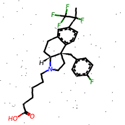 CC(F)(c1ccc2c(c1)CC[C@H]1N(CCCCCC(=O)O)CC[C@@]21Cc1ccc(F)cc1)C(F)(F)F